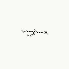 CCCCCCCCCCC(=O)C(CCCCCCCCC)C(=O)OCC